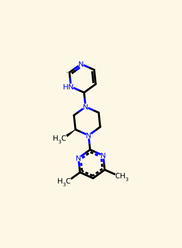 Cc1cc(C)nc(N2CCN(C3C=CN=[C]N3)C[C@@H]2C)n1